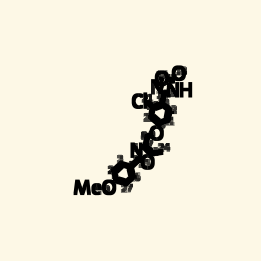 COc1ccc(-c2nc(COc3ccc(-c4noc(=O)[nH]4)c(Cl)c3)c(C)o2)cc1